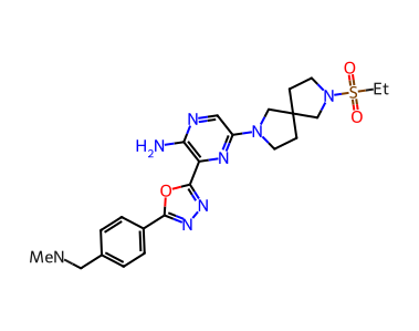 CCS(=O)(=O)N1CCC2(CCN(c3cnc(N)c(-c4nnc(-c5ccc(CNC)cc5)o4)n3)C2)C1